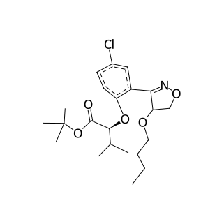 CCCCOC1CON=C1c1cc(Cl)ccc1O[C@H](C(=O)OC(C)(C)C)C(C)C